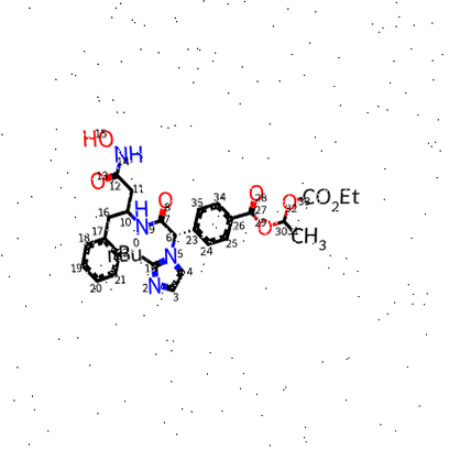 CCCCc1nccn1[C@H](C(=O)NC(CC(=O)NO)Cc1ccccc1)c1ccc(C(=O)OC(C)OC(=O)OCC)cc1